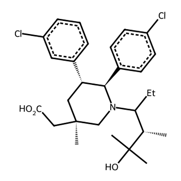 CCC([C@H](C)C(C)(C)O)N1C[C@@](C)(CC(=O)O)C[C@H](c2cccc(Cl)c2)[C@H]1c1ccc(Cl)cc1